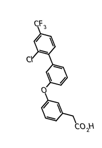 O=C(O)Cc1cccc(Oc2cccc(-c3ccc(C(F)(F)F)cc3Cl)c2)c1